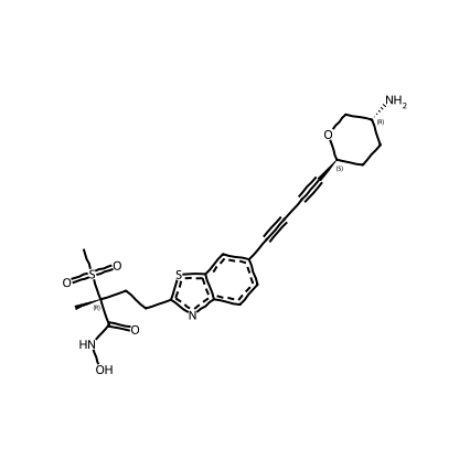 C[C@@](CCc1nc2ccc(C#CC#C[C@@H]3CC[C@@H](N)CO3)cc2s1)(C(=O)NO)S(C)(=O)=O